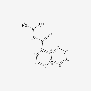 O=C(OC(O)O)c1cccc2ccccc12